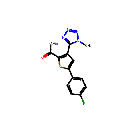 COC(=O)c1sc(-c2ccc(F)cc2)cc1-c1nnnn1C